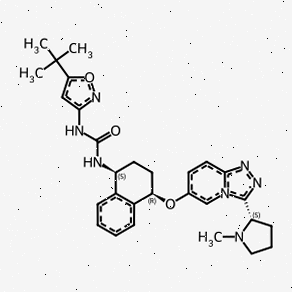 CN1CCC[C@H]1c1nnc2ccc(O[C@@H]3CC[C@H](NC(=O)Nc4cc(C(C)(C)C)on4)c4ccccc43)cn12